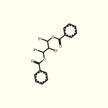 CCC(OC(=O)c1ccccc1)C(CC)C(OC(=O)c1ccccc1)C(C)C